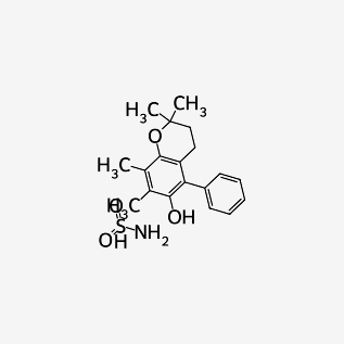 Cc1c(C)c2c(c(-c3ccccc3)c1O)CCC(C)(C)O2.N[SH](=O)=O